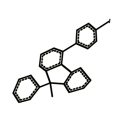 CC1(c2ccccc2)c2ccccc2-c2c(-c3ccc(I)cc3)cccc21